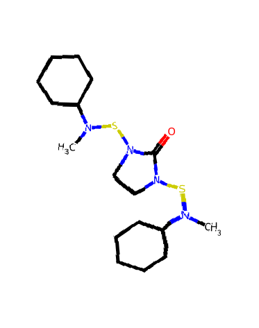 CN(SN1CCN(SN(C)C2CCCCC2)C1=O)C1CCCCC1